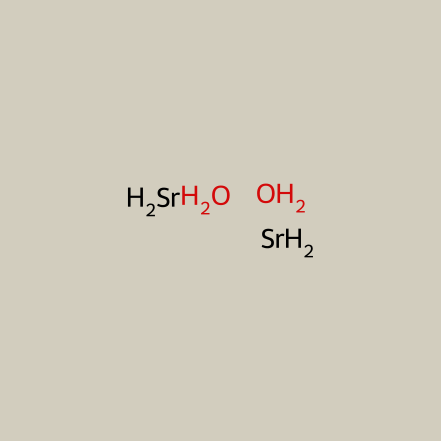 O.O.[SrH2].[SrH2]